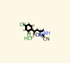 CCCCCCCCC(Cc1c[nH]c(C#N)n1)c1ccc(Cl)cc1Cl.Cl